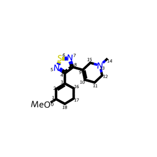 COC1C=C(c2nsnc2C2=CCCN(C)C2)CCC1